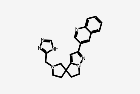 c1ccc2ncc(-c3cc4n(n3)CCC43CCN(Cc4nnc[nH]4)C3)cc2c1